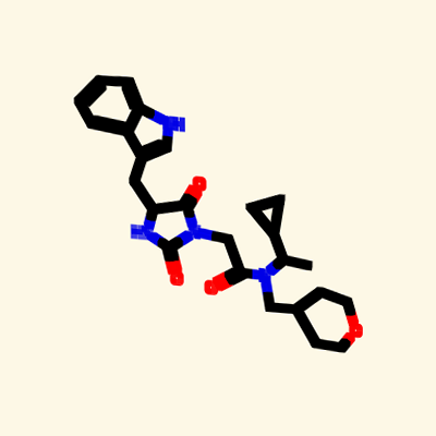 CC(C1CC1)N(CC1CCOCC1)C(=O)CN1C(=O)NC(Cc2c[nH]c3ccccc23)C1=O